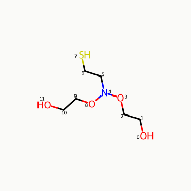 OCCON(CCS)OCCO